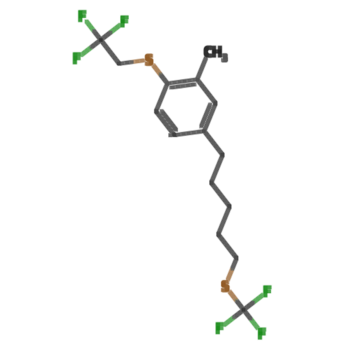 Cc1cc(CCCCCSC(F)(F)F)[c]cc1SCC(F)(F)F